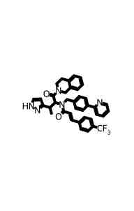 CC(c1cc[nH]n1)C(C(=O)N1CCc2ccccc2C1)N(Cc1ccc(-c2ccccn2)cc1)C(=O)C=Cc1ccc(C(F)(F)F)cc1